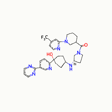 O=C(C1CCCN(c2cc(C(F)(F)F)ccn2)C1)N1CC[C@H](NC2CCC(O)(c3ccc(-c4ncccn4)cn3)CC2)C1